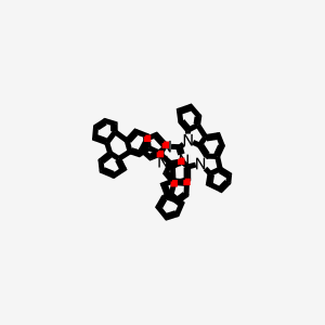 c1ccc(-c2cc(-c3ccccc3)cc(-n3c4ccccc4c4ccc5c6ccccc6n(-c6nc(-c7ccccc7)nc(-c7ccc8c9ccccc9c9ccccc9c8c7)n6)c5c43)c2)cc1